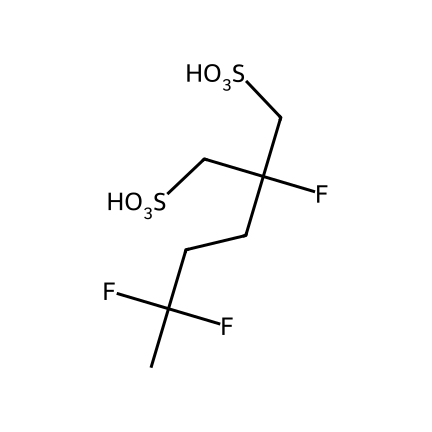 CC(F)(F)CCC(F)(CS(=O)(=O)O)CS(=O)(=O)O